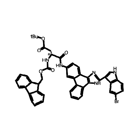 CC(C)(C)OC(=O)C[C@@H](NC(=O)OCC1c2ccccc2-c2ccccc21)C(=O)Nc1ccc2c(c1)c1ccccc1c1[nH]c(-c3c[nH]c4ccc(Br)cc34)nc21